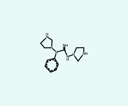 N=C(NN1CCNC1)N(c1cc[c]cc1)N1CCNC1